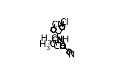 C[C@H](N[C@@H](c1ccc(-c2ccncc2)cc1)C(C)(C)C#N)C(Cc1ccc(Cl)cc1)c1cccc(C#N)c1